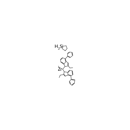 C1CC[SiH2]C1.CCC1=Cc2c(-c3ccccc3)cccc2C1[CH]([Zr][CH3])C1C(CC)=Cc2c(-c3ccccc3)cccc21